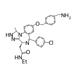 CCNC(=O)C[C@@H]1N=C(c2ccc(Cl)cc2)c2cc(OCc3ccc(CN)cc3)ccc2N2C1=NNC2C